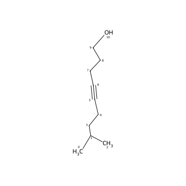 CC(C)CCC#CCCCO